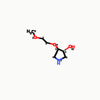 COCCO[C@@H]1CNC[C@H]1O